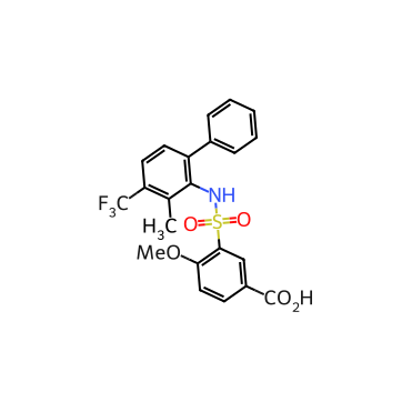 COc1ccc(C(=O)O)cc1S(=O)(=O)Nc1c(-c2ccccc2)ccc(C(F)(F)F)c1C